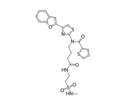 CNS(=O)(=O)CCNC(=O)CCCN(C(=O)c1cccs1)c1nc(-c2cc3ccccc3o2)cs1